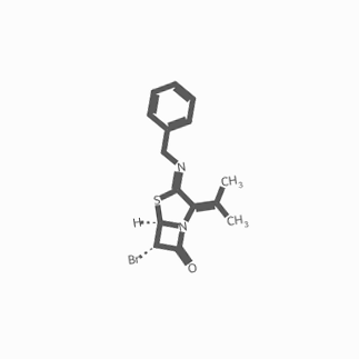 CC(C)=C1/C(=N/Cc2ccccc2)S[C@@H]2[C@@H](Br)C(=O)N12